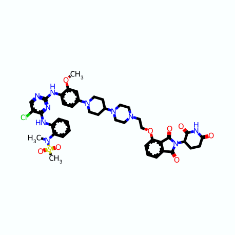 COc1cc(N2CCC(N3CCN(CCOc4cccc5c4C(=O)N(C4CCC(=O)NC4=O)C5=O)CC3)CC2)ccc1Nc1ncc(Cl)c(Nc2ccccc2N(C)S(C)(=O)=O)n1